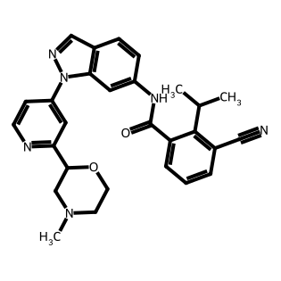 CC(C)c1c(C#N)cccc1C(=O)Nc1ccc2cnn(-c3ccnc(C4CN(C)CCO4)c3)c2c1